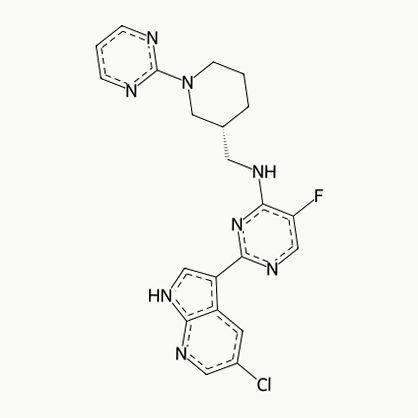 Fc1cnc(-c2c[nH]c3ncc(Cl)cc23)nc1NC[C@H]1CCCN(c2ncccn2)C1